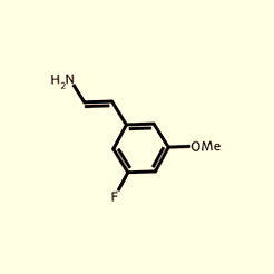 COc1cc(F)cc(/C=C/N)c1